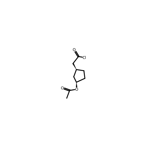 CC(=O)O[C@@H]1CC[C@H](CC(=O)Cl)C1